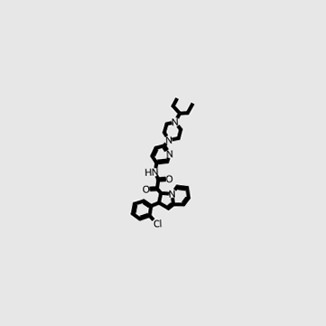 CCC(CC)N1CCN(c2ccc(NC(=O)C(=O)C3C(c4ccccc4Cl)C=C4C=CC=CN43)cn2)CC1